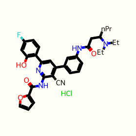 CCCC(CC(=O)Nc1cccc(-c2cc(-c3ccc(F)cc3O)nc(NC(=O)c3ccco3)c2C#N)c1)N(CC)CC.Cl